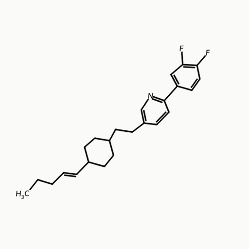 CCCC=CC1CCC(CCc2ccc(-c3ccc(F)c(F)c3)nc2)CC1